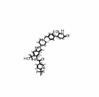 CC(C)(O)c1cc2nn(C3CCN(Cc4ccc(C5CCC(=O)NC5=O)c(F)c4)CC3)cc2cc1NC(=O)c1ccc(C(F)(F)F)nc1